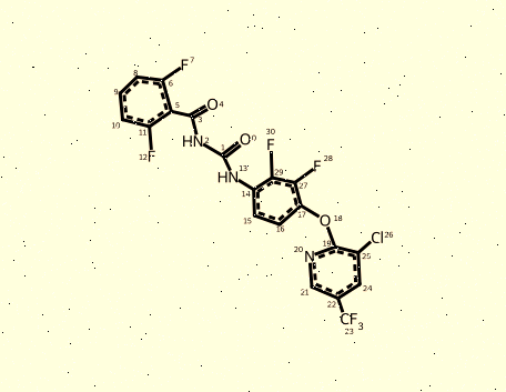 O=C(NC(=O)c1c(F)cccc1F)Nc1ccc(Oc2ncc(C(F)(F)F)cc2Cl)c(F)c1F